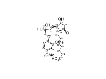 COc1ccc(OCC(C)(O)CS[C@H]2C(O)CC(=O)[C@@H]2CCCCCCC(=O)O)c(OC)c1